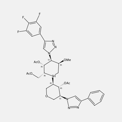 CO[C@H]1C[SH]([C@@H]2COC[C@H](n3cc(-c4ccccc4)nn3)[C@H]2OC(C)=O)[C@H](COC(C)=O)[C@H](OC(C)=O)[C@H]1n1cc(-c2cc(F)c(F)c(F)c2)nn1